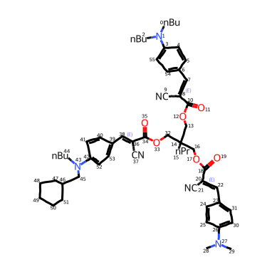 CCCCN(CCCC)c1ccc(/C=C(\C#N)C(=O)OCC(CCC)(COC(=O)/C(C#N)=C/c2ccc(N(C)C)cc2)COC(=O)/C(C#N)=C/c2ccc(N(CCCC)CC3CCCCC3)cc2)cc1